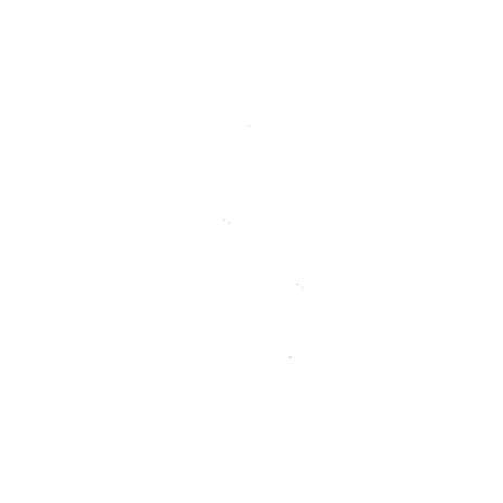 CO[C@H]1CN(c2c(F)cc3c(=O)c(C(=O)O)cn(C4CC4)c3c2F)C[C@H]1N.Cl